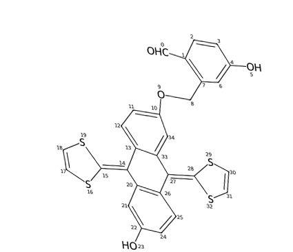 O=Cc1ccc(O)cc1COc1ccc2c(=C3SC=CS3)c3cc(O)ccc3c(=C3SC=CS3)c2c1